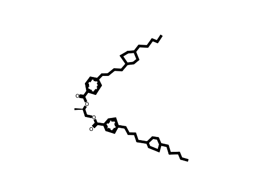 CCCCCC1CCC(CCCCc2ccc(C(=O)OC[C@@H](C)OC(=O)c3ccc(CCCCC4CCC(CCCCC)CC4)cc3)cc2)CC1